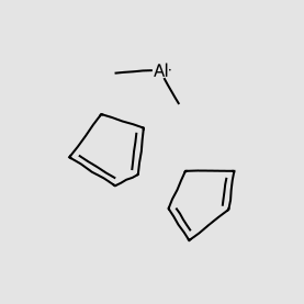 C1=CCC=C1.C1=CCC=C1.[CH3][Al][CH3]